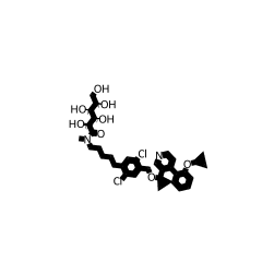 CN(CCCCCc1cc(Cl)c(COC2(c3cnccc3-c3ccccc3OC3CC3)CC2)cc1Cl)C(=O)[C@@H](O)[C@@H](O)[C@H](O)[C@@H](O)CO